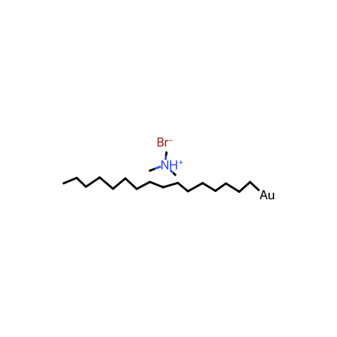 CCCCCCCCCCCCCCC[CH2][Au].C[NH+](C)C.[Br-]